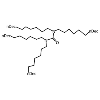 CCCCCCCCCCCCCCCCN(CCCCCCCCCCCCCCCC)C(=O)N(CCCCCCCCCCCCCCCC)CCCCCCCCCCCCCCCC